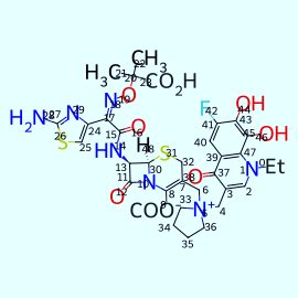 CCn1cc(C[N+]2(CC3=C(C(=O)[O-])N4C(=O)[C@@H](NC(=O)/C(=N\OC(C)(C)C(=O)O)c5csc(N)n5)[C@H]4SC3)CCCC2)c(=O)c2cc(F)c(O)c(O)c21